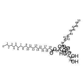 CCCCCCCCCCCCCCCCCCCCC(=O)OC[C@H](COP(=O)(O)OC[C@@H](O)CO)OC(=O)CCCCCCCCCCCC